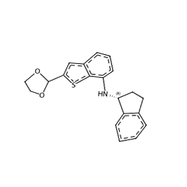 c1ccc2c(c1)CC[C@H]2Nc1cccc2cc(C3OCCO3)sc12